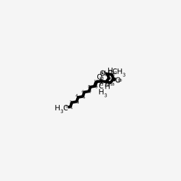 CCCCCCCCC/C=C/[C@@]1(C)OO[C@@H]2C[C@H]1CC(=O)[C@@H]2C